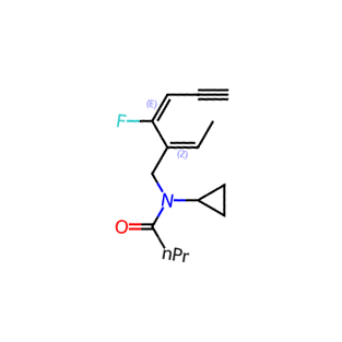 C#C/C=C(F)\C(=C/C)CN(C(=O)CCC)C1CC1